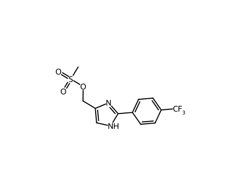 CS(=O)(=O)OCc1c[nH]c(-c2ccc(C(F)(F)F)cc2)n1